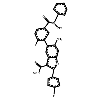 CCCN(C(=O)c1ccc(F)c(-c2cc3c(C(=O)NC)c(-c4ccc(F)cc4)oc3cc2N)c1)c1ccccc1